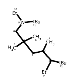 CCC(C(C)CC(C)(C)CN(CC)C(C)(C)C)C(C)(C)C